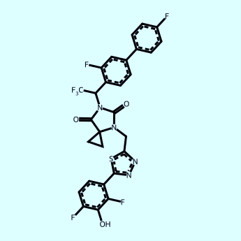 O=C1N(C(c2ccc(-c3ccc(F)cc3)cc2F)C(F)(F)F)C(=O)C2(CC2)N1Cc1nnc(-c2ccc(F)c(O)c2F)s1